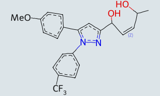 COc1ccc(-c2cc(C(O)/C=C\C(C)O)nn2-c2ccc(C(F)(F)F)cc2)cc1